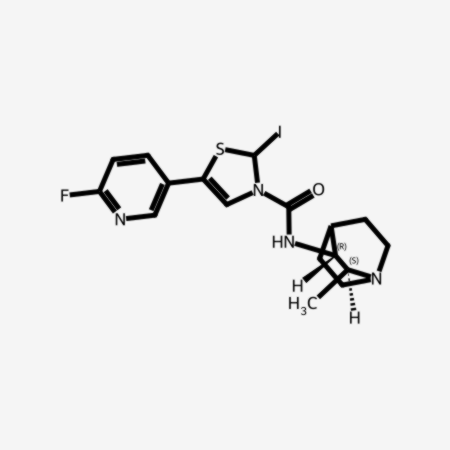 C[C@H]1[C@H](NC(=O)N2C=C(c3ccc(F)nc3)SC2I)C2CCN1CC2